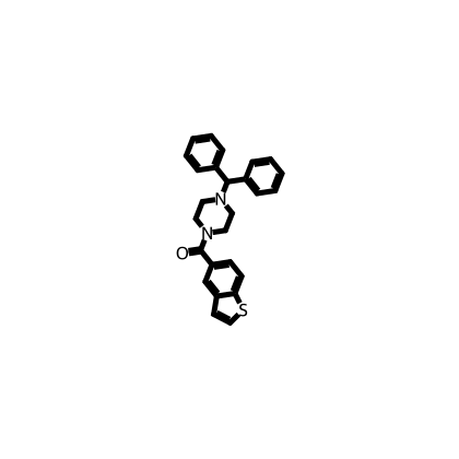 O=C(c1ccc2sccc2c1)N1CCN(C(c2ccccc2)c2ccccc2)CC1